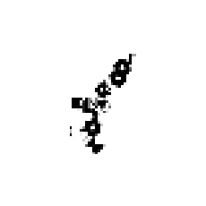 O=C(NC(Cc1ccc(OC2CC2)c(Cl)c1)CN1CCC1)[C@@H]1CCN(c2ccc3cc(F)ccc3c2)C1